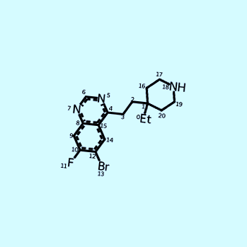 CCC1(CCc2ncnc3cc(F)c(Br)cc23)CCNCC1